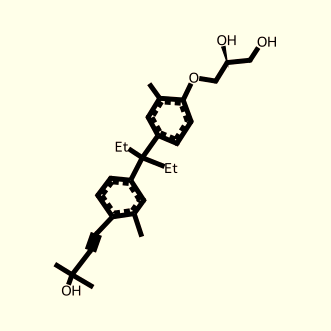 CCC(CC)(c1ccc(C#CC(C)(C)O)c(C)c1)c1ccc(OC[C@@H](O)CO)c(C)c1